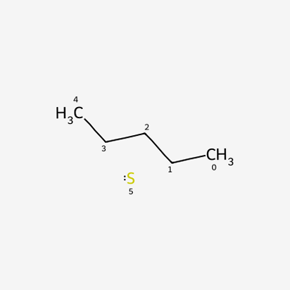 CCCCC.[S]